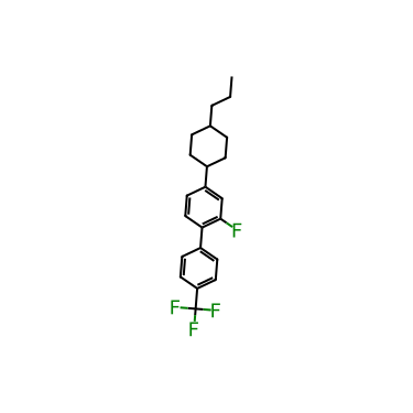 CCCC1CCC(c2ccc(-c3ccc(C(F)(F)F)cc3)c(F)c2)CC1